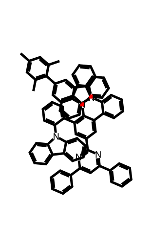 Cc1cc(C)c(-c2ccc3c(c2)c2ccccc2n3-c2c(-c3ccccc3-n3c4ccccc4c4ccccc43)cc(-c3nc(-c4ccccc4)cc(-c4ccccc4)n3)cc2-c2ccccc2-n2c3ccccc3c3ccccc32)c(C)c1